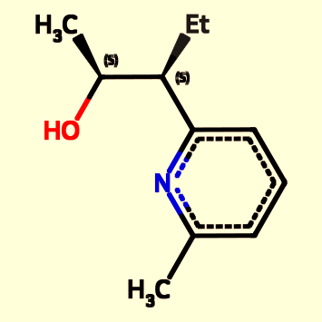 CC[C@@H](c1cccc(C)n1)[C@H](C)O